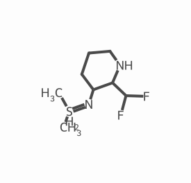 C[SH2](C)=NC1CCCNC1C(F)F